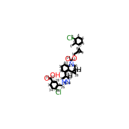 Cc1c(Cl)cccc1[C@@H]1CC1COC(=O)N1C[C@@H]2C[C@@H]2c2c(-c3cnn(Cc4cc(C(=O)O)ccc4Cl)c3)cccc21